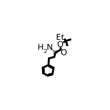 CCC(C)(C)OC(=O)[C@@H](N)CCc1ccccc1